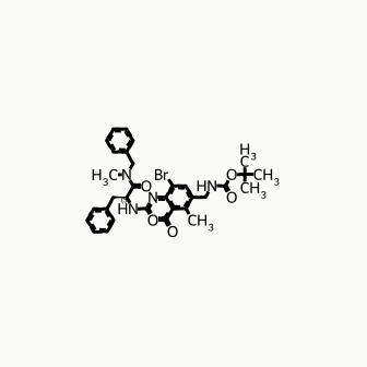 Cc1c(CNC(=O)OC(C)(C)C)cc(Br)c2nc(N[C@@H](Cc3ccccc3)C(=O)N(C)Cc3ccccc3)oc(=O)c12